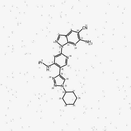 CC(C)Nc1cc(-n2ncc3cc(C#N)c(N)nc32)ncc1-c1cn(C2CCCCC2)nn1